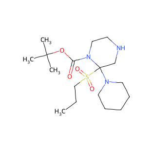 CCCS(=O)(=O)C1(N2CCCCC2)CNCCN1C(=O)OC(C)(C)C